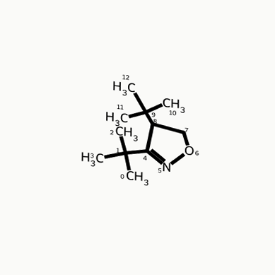 CC(C)(C)C1=NOCC1C(C)(C)C